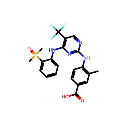 Cc1cc(C(=O)O)ccc1Nc1ncc(C(F)(F)F)c(Nc2ccccc2P(C)(C)=O)n1